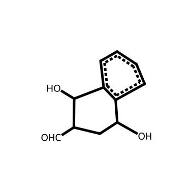 O=CC1CC(O)c2ccccc2C1O